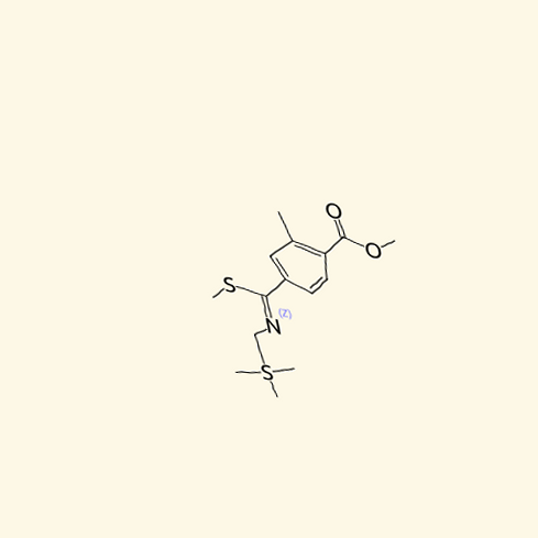 COC(=O)c1ccc(/C(=N/CS(C)(C)C)SC)cc1C